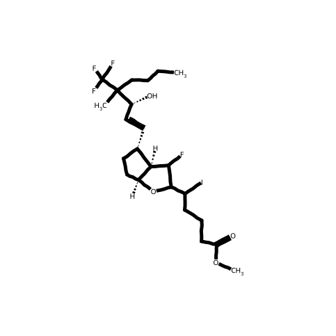 CCCCC(C)([C@H](O)/C=C/[C@H]1CC[C@@H]2OC(C(I)CCCC(=O)OC)C(F)[C@@H]21)C(F)(F)F